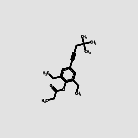 CCC(=O)Oc1c(CC)cc(C#CC[Si](C)(C)C)cc1CC